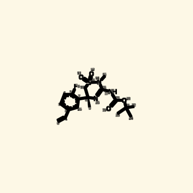 C=Cc1ccc(F)c([C@]2(C)CS(=O)(=O)N(C)C(NC(=O)OC(C)(C)C)=N2)c1